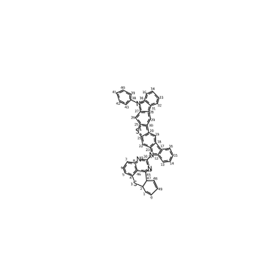 C1=CC2Sc3cccc4nc(-n5c6ccccc6c6cc7c(cc65)sc5cc6c(cc57)c5ccccc5n6-c5ccccc5)nc(c34)C2C=C1